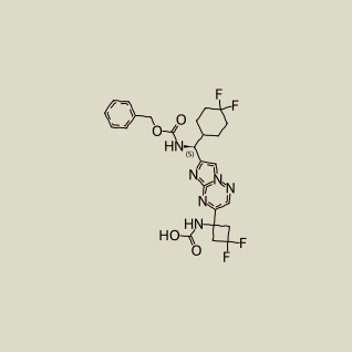 O=C(O)NC1(c2cnn3cc([C@@H](NC(=O)OCc4ccccc4)C4CCC(F)(F)CC4)nc3n2)CC(F)(F)C1